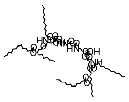 CCCCCC/C=C\CCCC(=O)O[C@H](CCCCCCC)CCOCC(COP(=O)(O)OCCNC(=O)CC(=O)NCCOP(=O)(O)OCC(COCC[C@@H](CCCCCCC)OC(=O)CCC/C=C\CCCCCC)NC(=O)CCCCCCCCCCC)NC(=O)CCCCCCCCCCC